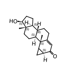 C[C@]12CC[C@H]3[C@@H](CCC4=CC(=O)[C@H]5CC5[C@@]43C)[C@@H]1CC[C@@H]2O